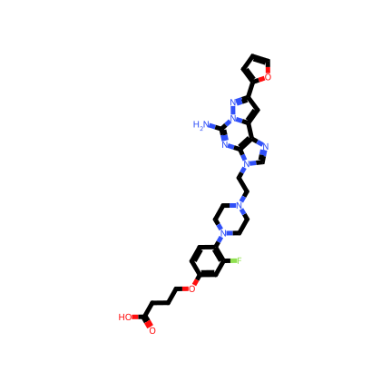 Nc1nc2c(ncn2CCN2CCN(c3ccc(OCCCC(=O)O)cc3F)CC2)c2cc(-c3ccco3)nn12